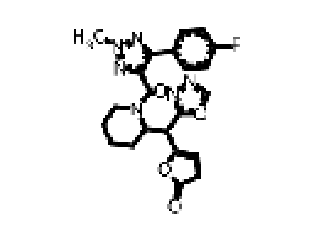 Cn1nc(C(=O)N2CCCCC2C(C2=CCC(=O)O2)c2nnco2)c(-c2ccc(F)cc2)n1